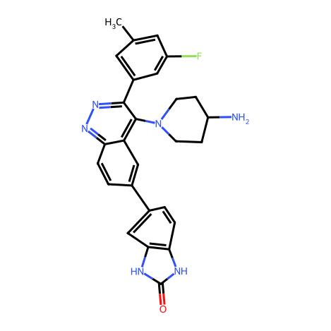 Cc1cc(F)cc(-c2nnc3ccc(-c4ccc5[nH]c(=O)[nH]c5c4)cc3c2N2CCC(N)CC2)c1